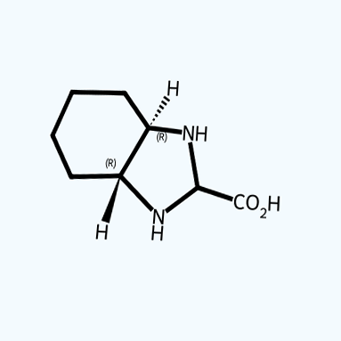 O=C(O)C1N[C@@H]2CCCC[C@H]2N1